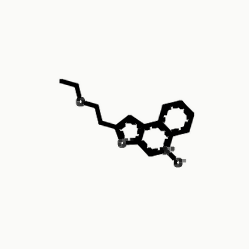 CCOCCc1cc2c(c[n+]([O-])c3ccccc23)o1